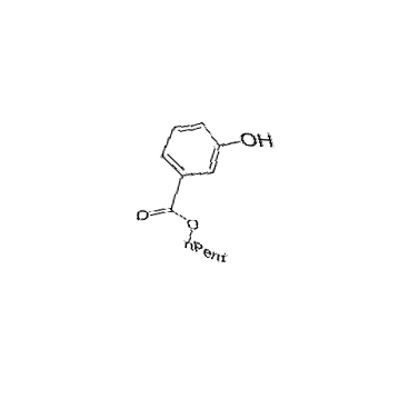 CCCCCOC(=O)c1cccc(O)c1